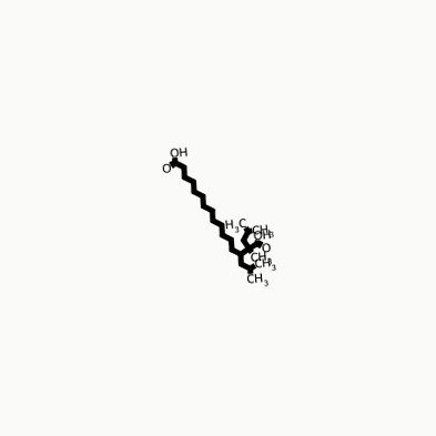 CC(C)CC(CCCCCCCCCCCCC(=O)O)C(C)(CC(C)C)C(=O)O